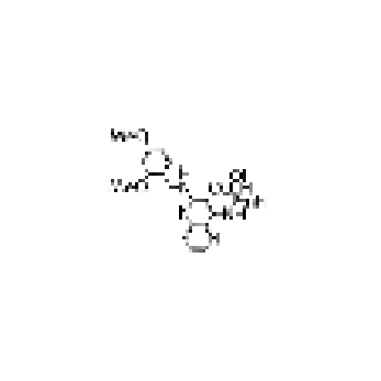 CCCC(CO)Nc1c(C(=O)O)c(NCc2ccc(OC)cc2OC)nc2cccnc12